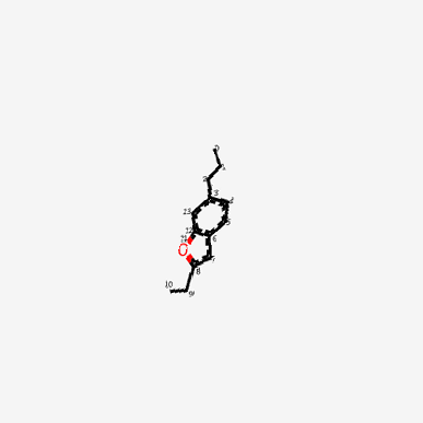 CCCc1ccc2cc(CC)oc2c1